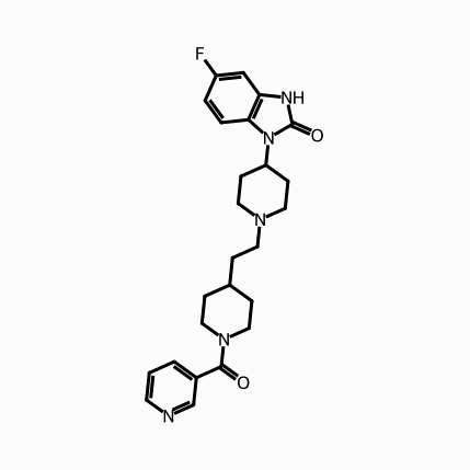 O=C(c1cccnc1)N1CCC(CCN2CCC(n3c(=O)[nH]c4cc(F)ccc43)CC2)CC1